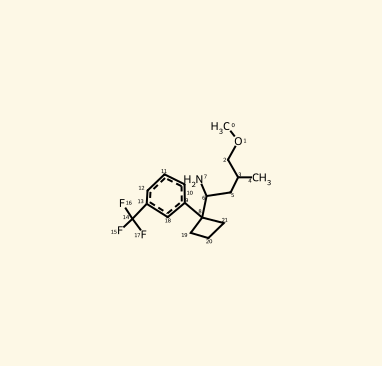 COCC(C)CC(N)C1(c2cccc(C(F)(F)F)c2)CCC1